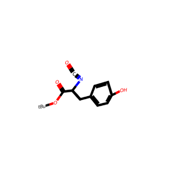 CC(C)(C)OC(=O)C(Cc1ccc(O)cc1)N=C=O